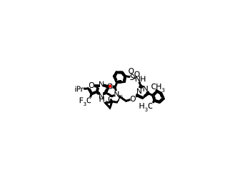 Cc1cccc(C)c1-c1cc2nc(n1)NS(=O)(=O)c1cccc(c1)C(=O)N(Cc1cnc3oc(C(C)C)c(C(F)(F)F)c3n1)[C@H](CC1(C)CC1)CO2